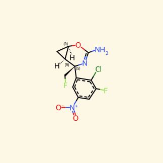 NC1=N[C@](CF)(c2cc([N+](=O)[O-])cc(F)c2Cl)[C@H]2C[C@H]2O1